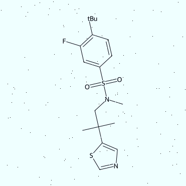 CN(CC(C)(C)c1cncs1)S(=O)(=O)c1ccc(C(C)(C)C)c(F)c1